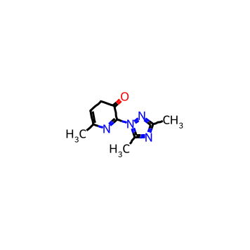 CC1=CCC(=O)C(n2nc(C)nc2C)=N1